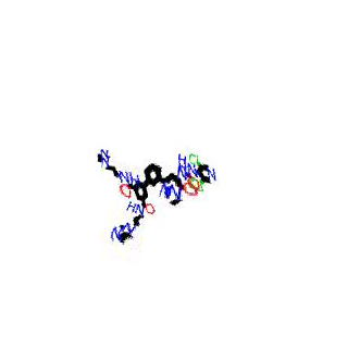 CCn1nc(-c2cccc(-c3cc(C(=O)NCCCn4ccnc4)cc(C(=O)NCCCn4ccnc4)c3)c2)cc(NC(=O)Nc2c(Cl)cncc2Cl)c1=O